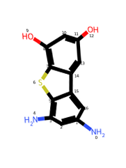 Nc1cc(N)c2sc3c(O)cc(O)cc3c2c1